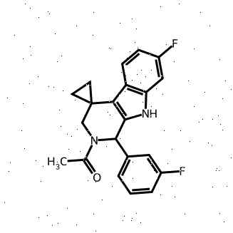 CC(=O)N1CC2(CC2)c2c([nH]c3cc(F)ccc23)C1c1cccc(F)c1